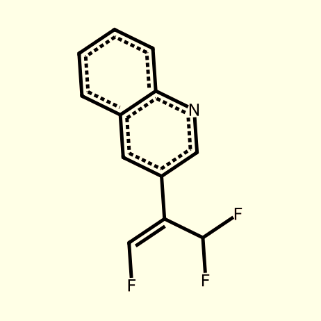 FC=C(c1cnc2ccccc2c1)C(F)F